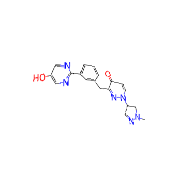 CN1CC(n2ccc(=O)c(Cc3cccc(-c4ncc(O)cn4)c3)n2)C=N1